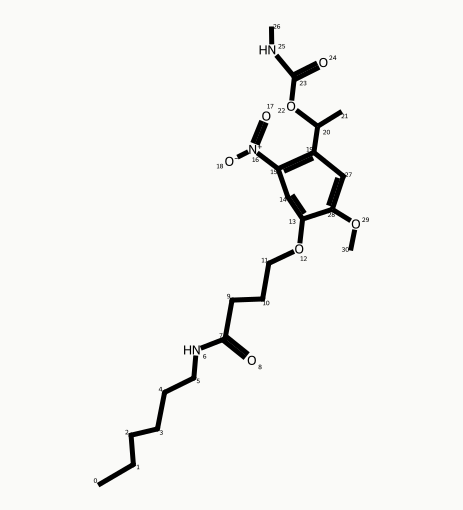 CCCCCCNC(=O)CCCOc1cc([N+](=O)[O-])c(C(C)OC(=O)NC)cc1OC